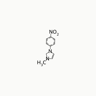 CN1C=CN(c2ccc([N+](=O)[O-])cc2)C1